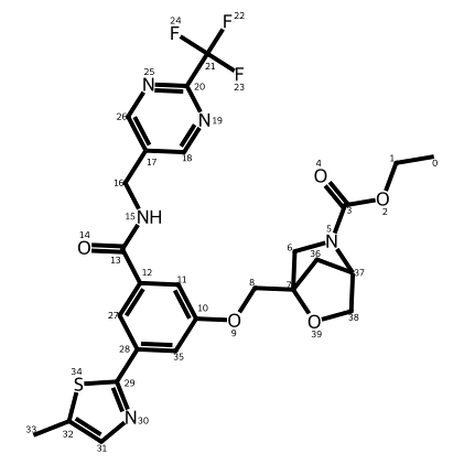 CCOC(=O)N1CC2(COc3cc(C(=O)NCc4cnc(C(F)(F)F)nc4)cc(-c4ncc(C)s4)c3)CC1CO2